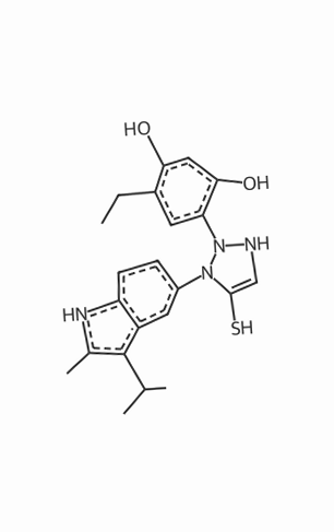 CCc1cc(N2NC=C(S)N2c2ccc3[nH]c(C)c(C(C)C)c3c2)c(O)cc1O